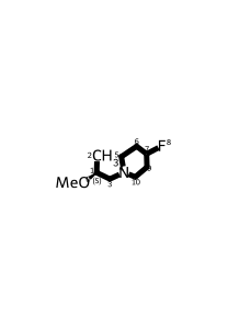 CO[C@@H](C)CN1CCC(F)CC1